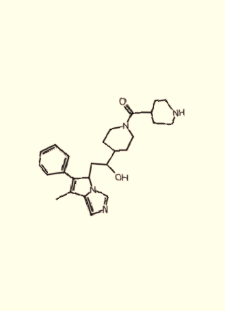 CC1=C(c2ccccc2)C(CC(O)C2CCN(C(=O)C3CCNCC3)CC2)n2cncc21